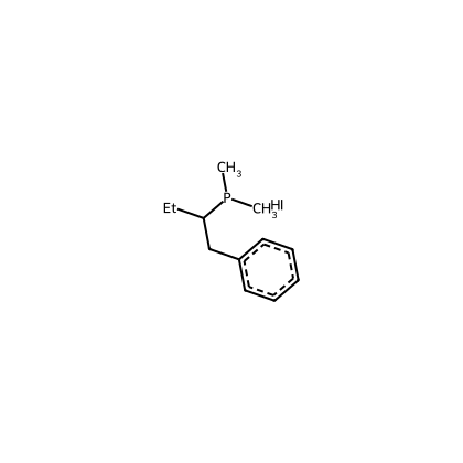 CCC(Cc1ccccc1)P(C)C.I